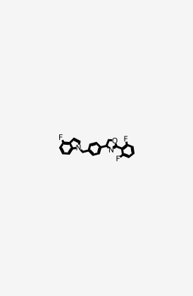 Fc1cccc(F)c1C1=NC(c2ccc(Cn3ccc4c(F)cccc43)cc2)CO1